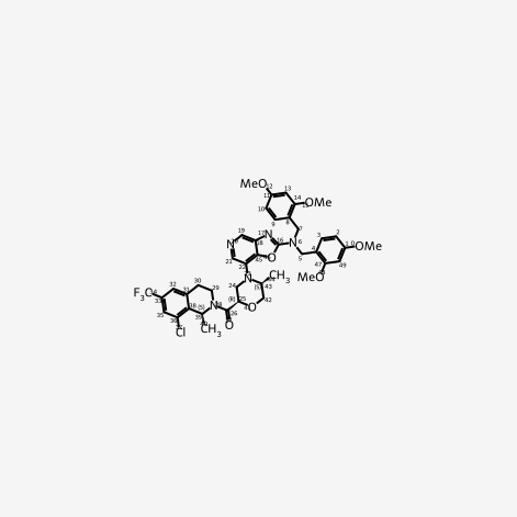 COc1ccc(CN(Cc2ccc(OC)cc2OC)c2nc3cncc(N4C[C@H](C(=O)N5CCc6cc(C(F)(F)F)cc(Cl)c6[C@@H]5C)OC[C@@H]4C)c3o2)c(OC)c1